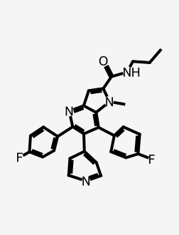 CCCNC(=O)c1cc2nc(-c3ccc(F)cc3)c(-c3ccncc3)c(-c3ccc(F)cc3)c2n1C